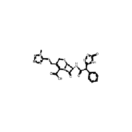 Cn1nnnc1SCC1=C(C(=O)O)N2C(=O)[C@@H](NC(=O)C(c3ccccc3)c3noc(=O)[nH]3)C2SC1